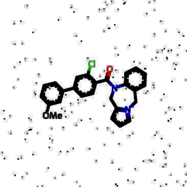 COc1cccc(-c2ccc(C(=O)N3Cc4cccn4Cc4ccccc43)c(Cl)c2)c1